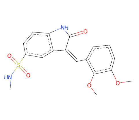 CNS(=O)(=O)c1ccc2c(c1)C(=Cc1cccc(OC)c1OC)C(=O)N2